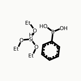 CCO[SiH](OCC)OCC.OB(O)c1ccccc1